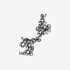 C=CC(=O)N1C[C@@H](C)N(c2nc(=O)n(-c3c(C)cc(/C=C/C(=O)N4CCN(c5nc(=O)n(-c6ccccc6C(C)C)c6nc(-c7cc(O)cc(Cl)c7Cl)c(Cl)cc56)[C@@H](C)C4)nc3C(C)C)c3nc(Cl)c(Cl)cc23)[C@H](C)C1